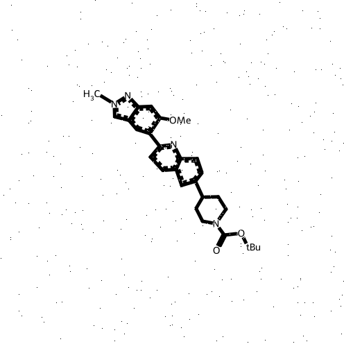 COc1cc2nn(C)cc2cc1-c1ccc2cc(C3CCN(C(=O)OC(C)(C)C)CC3)ccc2n1